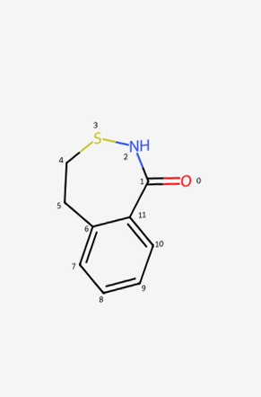 O=C1NSCCc2ccccc21